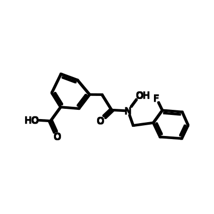 O=C(O)c1cccc(CC(=O)N(O)Cc2ccccc2F)c1